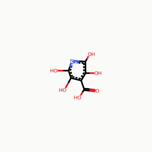 O=C(O)c1c(O)c(O)nc(O)c1O